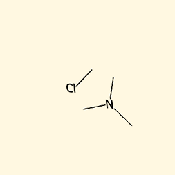 CCl.CN(C)C